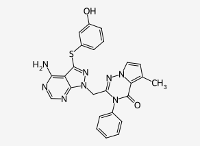 Cc1ccn2nc(Cn3nc(Sc4cccc(O)c4)c4c(N)ncnc43)n(-c3ccccc3)c(=O)c12